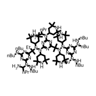 CCCCNN(CCCC)c1nc(N(CCCC)NCCCC)nc(N(C2CC(C)(C)NC(C)(C)C2)N(C2CC(C)(C)NC(C)(C)C2)C(C)(C)c2nc(N(C(N)CCC)C3CC(C)(C)NC(C)(C)C3)nc(N(C3CC(C)(C)NC(C)(C)C3)N(C3CC(C)(C)NC(C)(C)C3)C(C)(CC)c3nc(N(CCCC)CCCC)nc(N(NCCCC)C(N)CCC)n3)n2)n1